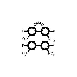 O=S=O.O=[N+]([O-])c1cc(-c2ccc(F)c([N+](=O)[O-])c2)ccc1F.O=[N+]([O-])c1cc(-c2ccc(F)c([N+](=O)[O-])c2)ccc1F